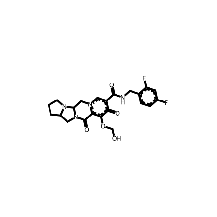 O=C(NCc1ccc(F)cc1F)c1cn2c(c(OCO)c1=O)C(=O)N1CC3CCCN3C1C2